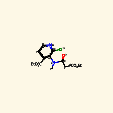 CCOC(=O)CC(=O)N(C)c1c(C(=O)OCC)ccnc1Cl